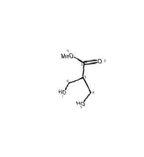 COC(=O)C(CO)CO